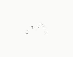 CCn1c2ccc(C(=O)C(CCSc3ccc(Br)cc3)=NSC(C)=O)cc2c2cc(C(=O)c3ccccc3C)ccc21